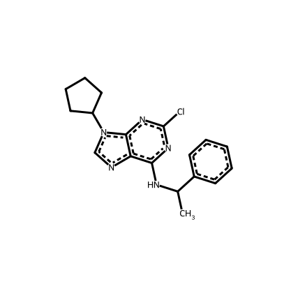 CC(Nc1nc(Cl)nc2c1ncn2C1CCCC1)c1ccccc1